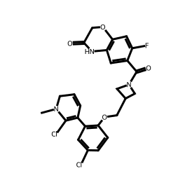 CN1CC=CC(c2cc(Cl)ccc2OCC2CN(C(=O)c3cc4c(cc3F)OCC(=O)N4)C2)=C1Cl